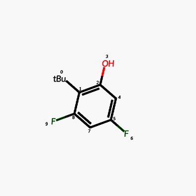 CC(C)(C)c1c(O)cc(F)cc1F